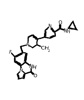 CC1CN(Cc2cc3[nH]c(=O)c4cccn4c3cc2F)CC=C1c1ccc(C(=O)NC2CC2)nc1